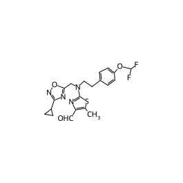 Cc1sc(N(CCc2ccc(OC(F)F)cc2)Cc2nc(C3CC3)no2)nc1C=O